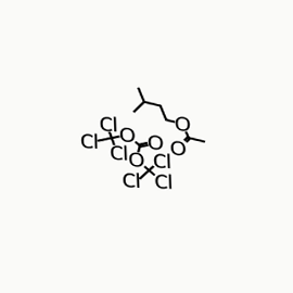 CC(=O)OCCC(C)C.O=C(OC(Cl)(Cl)Cl)OC(Cl)(Cl)Cl